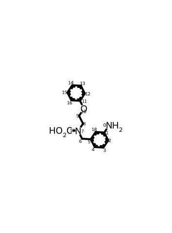 Nc1cccc(CN(CCOc2ccccc2)C(=O)O)c1